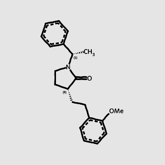 COc1ccccc1CC[C@@H]1CCN([C@@H](C)c2ccccc2)C1=O